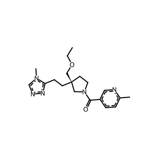 CCOC[C@@]1(CCc2nncn2C)CCN(C(=O)c2ccc(C)nc2)C1